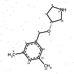 Cc1cc(CO[C@@H]2CCNC2)cc(C)n1